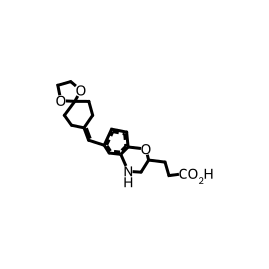 O=C(O)CCC1CNc2cc(C=C3CCC4(CC3)OCCO4)ccc2O1